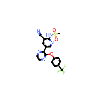 CS(=O)(=O)Nc1ncc(-c2nccnc2Oc2ccc(C(F)(F)F)cc2)cc1C#N